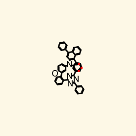 c1ccc(-c2nc(-c3ccccc3)nc(-c3cccc4oc5ccc(-n6c7ccccc7c7c8ccccc8c(-c8ccccc8)cc76)cc5c34)n2)cc1